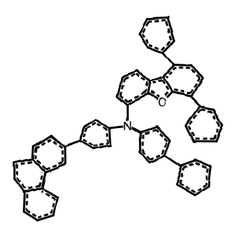 c1ccc(-c2ccc(N(c3ccc(-c4ccc5ccc6ccccc6c5c4)cc3)c3cccc4c3oc3c(-c5ccccc5)ccc(-c5ccccc5)c34)cc2)cc1